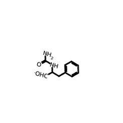 NC(=O)NC([C]=O)Cc1ccccc1